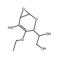 CCOC1=C(O)C2OC2OC1C(O)CO